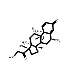 CC(=O)OCC(=O)[C@@]1(O)CC[C@H]2[C@@H]3C[C@H](C(F)(F)F)C4=CC(=O)C=C[C@]4(C)[C@@]3(F)[C@@H](F)C[C@@]21C